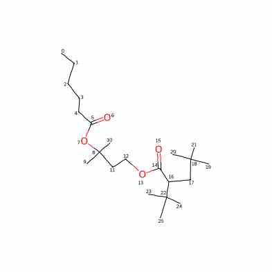 CCCCCC(=O)OC(C)(C)CCOC(=O)C(CC(C)(C)C)C(C)(C)C